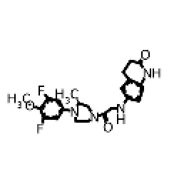 COc1c(F)cc(N2CCN(C(=O)CNc3ccc4c(c3)CCC(=O)N4)C[C@H]2C)cc1F